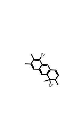 Cc1cc2cc3c(cc2c(Br)c1C)C=CC(C)C3(C)Br